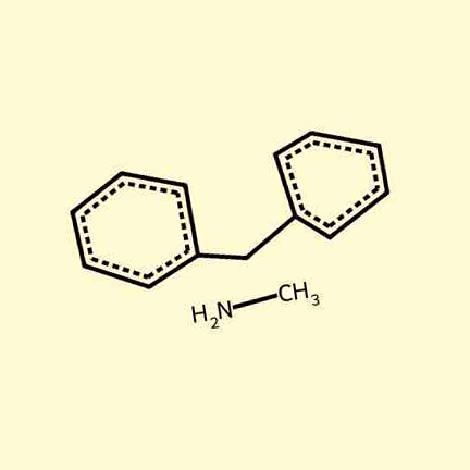 CN.c1ccc(Cc2ccccc2)cc1